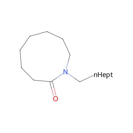 CCCCCCCCN1CCCCCCCC1=O